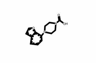 O=C(O)N1CCN(c2cccc3ccoc23)CC1